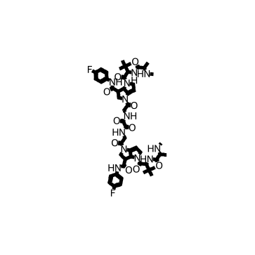 CNC(C)C(=O)NC(C(=O)N1CC=C2C1C(C(=O)Nc1ccc(F)cc1)CN2C(=O)CNC(=O)C(=O)NCC(=O)N1CC(C(=O)Nc2ccc(F)cc2)C2C1=CCN2C(=O)C(NC(=O)C(C)NC)C(C)(C)C)C(C)(C)C